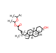 CC(=O)C(C)OC(C)OC(=O)CC[C@@H](C)[C@H]1CC[C@H]2[C@@H]3CC[C@@H]4C[C@H](O)CC[C@]4(C)[C@H]3CC[C@]12C